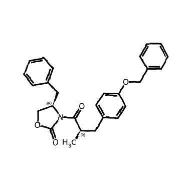 C[C@H](Cc1ccc(OCc2ccccc2)cc1)C(=O)N1C(=O)OC[C@H]1Cc1ccccc1